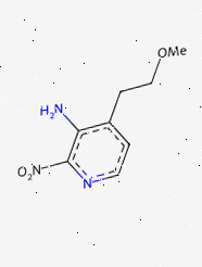 COCCc1ccnc([N+](=O)[O-])c1N